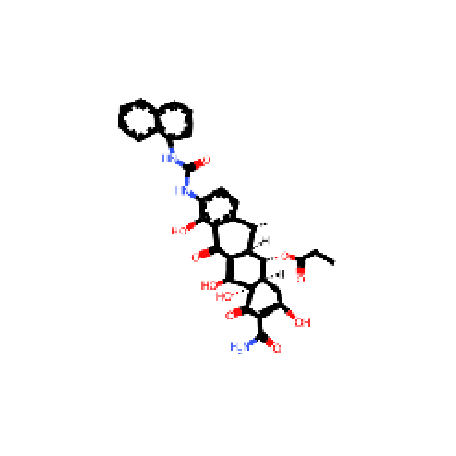 CCC(=O)O[C@H]1[C@H]2C(=C(O)[C@]3(O)C(=O)C(C(N)=O)=C(O)C[C@H]13)C(=O)c1c(ccc(NC(=O)Nc3cccc4ccccc34)c1O)[C@@H]2C